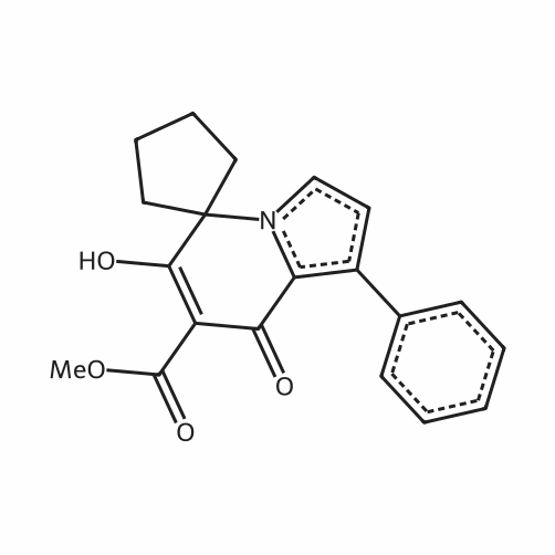 COC(=O)C1=C(O)C2(CCCC2)n2ccc(-c3ccccc3)c2C1=O